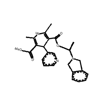 COC(=O)C1=C(C)NC(C)=C(C(=O)OC(C)N2Cc3ccccc3C2)C1c1cccnc1